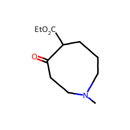 CCOC(=O)C1CCCN(C)CCC1=O